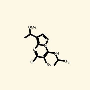 CCC(C)c1c(Cl)nc2c(C(C)OC)cnn2c1NC(C)C(F)(F)F